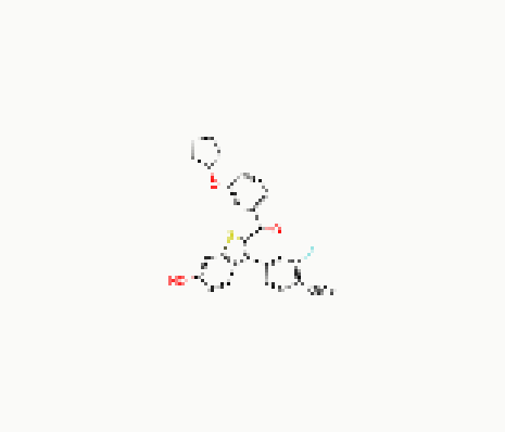 COc1ccc(-c2c(C(=O)c3cccc(OC4CCCC4)c3)sc3cc(O)ccc23)cc1F